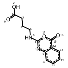 O=C(O)CCCNc1nc2ccccc2c(=O)o1